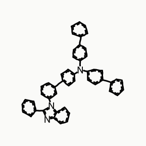 c1ccc(-c2ccc(N(c3ccc(-c4ccccc4)cc3)c3ccc(-c4cccc(-n5c(-c6ccccc6)nc6ccccc65)c4)cc3)cc2)cc1